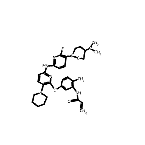 C=CC(=O)Nc1cc(Oc2nc(Nc3ccc(N4CCC(N(C)C)CC4)c(F)n3)ccc2N2CCCCC2)ccc1C